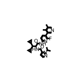 Cc1cncc(-c2ccc(NC(=O)[C@@H](NC(=O)c3ccnn3C(C)C)C(C3CC3)C3CC3)nc2F)c1C